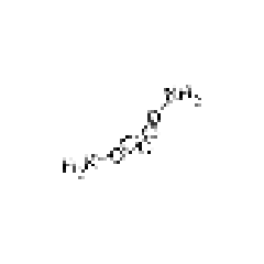 NCCCOc1ccc2c(c1)oc1ccc(OCCCN)cc12